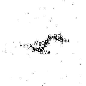 CCOC(=O)CCC(=O)N1Cc2cc(OC)c(OCCCOc3c(OC)cc4c(c3F)CN(C(=O)CCC(=O)OC(C)(C)CNC(=O)OC(C)(C)C)C4)c(F)c2C1